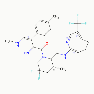 CN/C=C(\C(=N)C(=O)N1CC(F)(F)C[C@@H](C)C1CNC1=C/CC/C=C(C(F)(F)F)/C=N\1)c1ccc(C)cc1